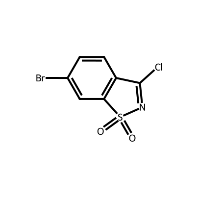 O=S1(=O)N=C(Cl)c2ccc(Br)cc21